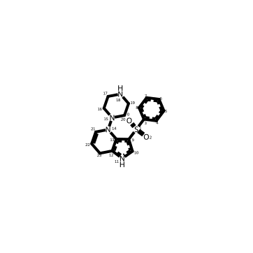 O=S(=O)(c1ccccc1)c1c[nH]c2c1N(N1CCNCC1)C=CC2